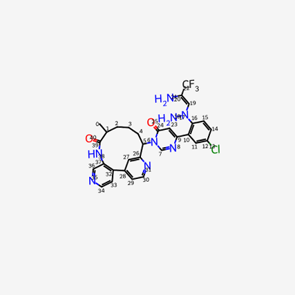 CC1CCCC(n2cnc(-c3cc(Cl)ccc3N(N)/C=C(\N)C(F)(F)F)cc2=O)c2cc(ccn2)-c2ccncc2NC1=O